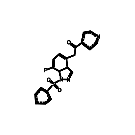 O=C(CC1=CC=C(F)C2C1C=NN2S(=O)(=O)c1ccccc1)c1ccncc1